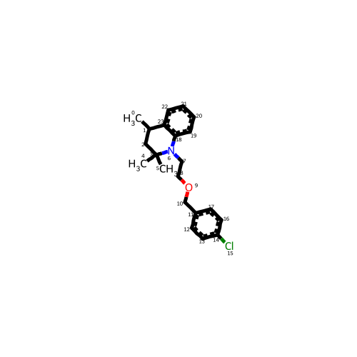 CC1CC(C)(C)N(CCOCc2ccc(Cl)cc2)c2ccccc21